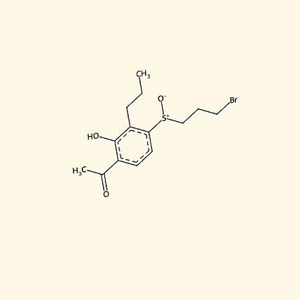 CCCc1c([S+]([O-])CCCBr)ccc(C(C)=O)c1O